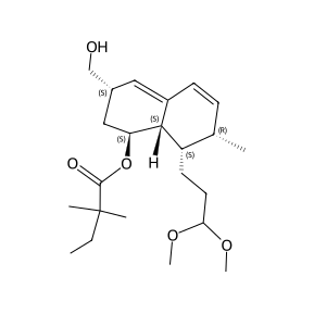 CCC(C)(C)C(=O)O[C@H]1C[C@H](CO)C=C2C=C[C@H](C)[C@H](CCC(OC)OC)[C@@H]21